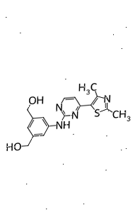 Cc1nc(C)c(-c2ccnc(Nc3cc(CO)cc(CO)c3)n2)s1